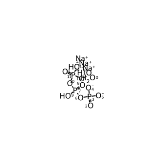 O.O.O=P([O-])([O-])OP(=O)(O)OP(=O)([O-])O.[Na+].[Na+].[Na+]